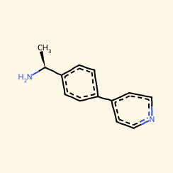 C[C@H](N)c1ccc(-c2ccncc2)cc1